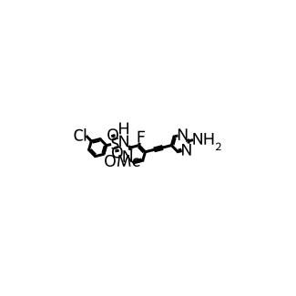 COc1ccc(Cl)cc1S(=O)(=O)Nc1nccc(C#Cc2cnc(N)nc2)c1F